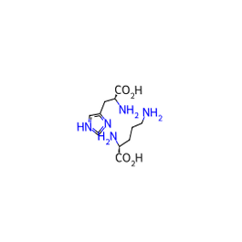 NCCC[C@H](N)C(=O)O.N[C@@H](Cc1c[nH]cn1)C(=O)O